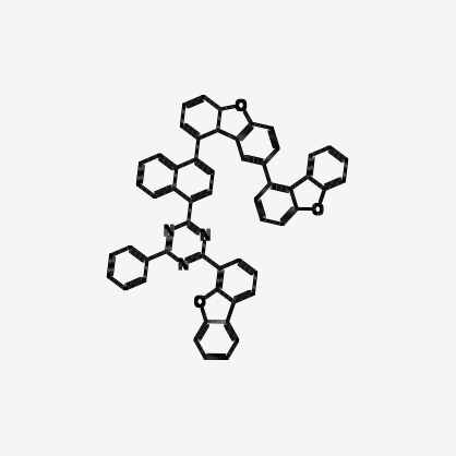 C1=CC2Oc3ccc(-c4cccc5oc6ccccc6c45)cc3C2C(c2ccc(-c3nc(-c4ccccc4)nc(-c4cccc5c4oc4ccccc45)n3)c3ccccc23)=C1